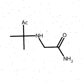 CC(=O)C(C)(C)NCC(N)=O